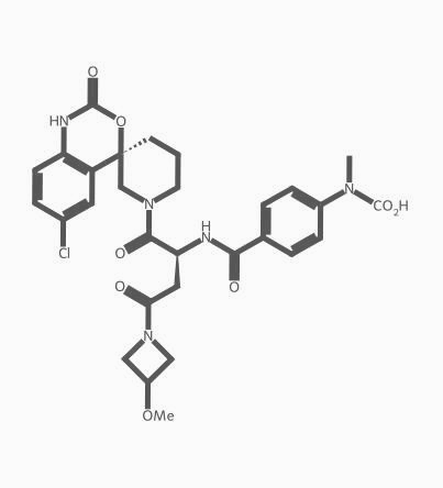 COC1CN(C(=O)C[C@H](NC(=O)c2ccc(N(C)C(=O)O)cc2)C(=O)N2CCC[C@@]3(C2)OC(=O)Nc2ccc(Cl)cc23)C1